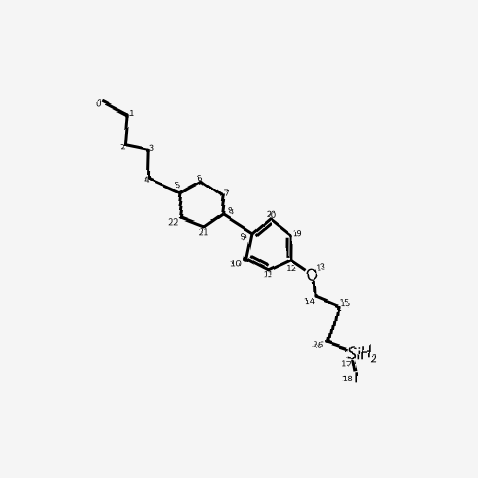 CCCCCC1CCC(c2ccc(OCCC[SiH2]I)cc2)CC1